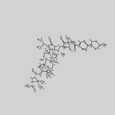 CC(C)C1=C2[C@H]3CC[C@@H]4[C@@]5(C)CC[C@H](OC(=O)[C@H]6C[C@@H](C(=O)O)C6(C)C)C(C)(C)[C@@H]5CC[C@@]4(C)[C@]3(C)CC[C@@]2([C@@H](O)CNC(=O)C(C)(C)NC(=O)c2ccc(N3CCC(O)CC3)cc2)CC1=O